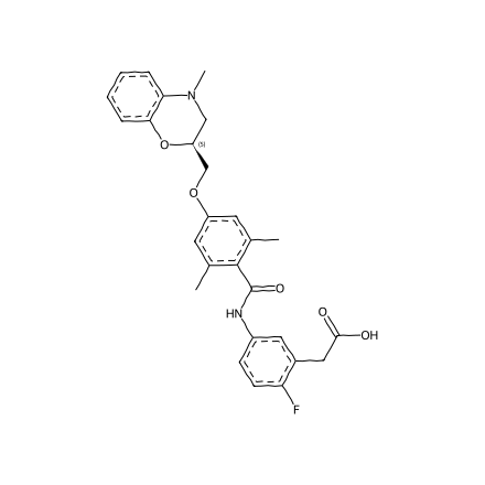 Cc1cc(OC[C@@H]2CN(C)c3ccccc3O2)cc(C)c1C(=O)Nc1ccc(F)c(CC(=O)O)c1